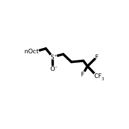 [CH2]CCCCCCCC[S+]([O-])CCCC(F)(F)C(F)(F)F